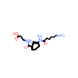 NCCCCCC(=O)Nc1cccc(C(=O)NCCC(=O)O)c1